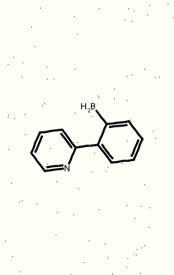 Bc1ccccc1-c1ccccn1